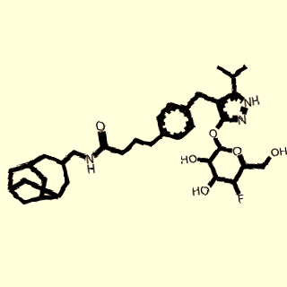 CC(C)c1[nH]nc(OC2OC(CO)C(F)C(O)C2O)c1Cc1ccc(CCCC(=O)NCC2CC3CC4CC(C2)C(C3)C4)cc1